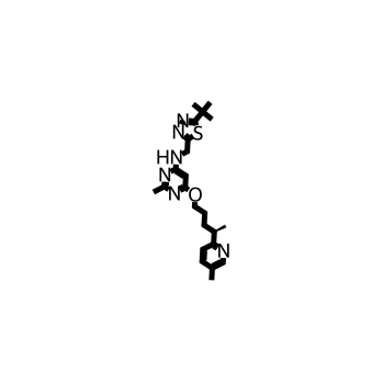 Cc1ccc([C@H](C)CCCOc2cc(NCc3nnc(C(C)(C)C)s3)nc(C)n2)nc1